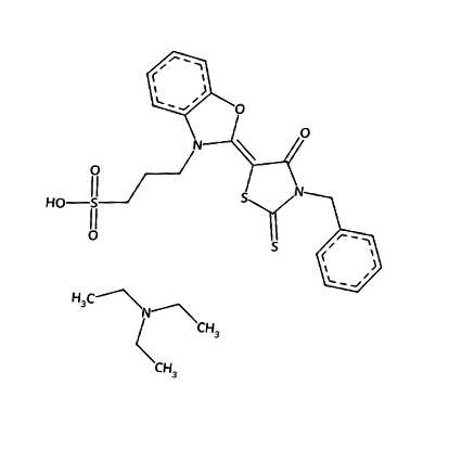 CCN(CC)CC.O=C1/C(=C2\Oc3ccccc3N2CCCS(=O)(=O)O)SC(=S)N1Cc1ccccc1